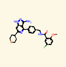 COc1ccc(F)cc1C(=O)NCc1ccc(-c2nc(C3CCSCC3)cc3[nH]nc(N)c23)cc1